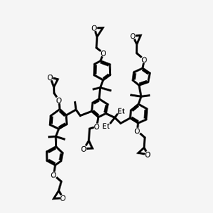 CCC(CC)(Cc1cc(C(C)(C)c2ccc(OCC3CO3)cc2)ccc1OCC1CO1)c1cc(C(C)(C)c2ccc(OCC3CO3)cc2)cc(CC(C)c2cc(C(C)(C)c3ccc(OCC4CO4)cc3)ccc2OCC2CO2)c1OCC1CO1